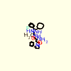 C[C@H](NC(=O)[C@@H](N)CC(=O)N1CCC[C@@H]1c1ccccc1)C1NC(c2ccccc2F)C(C2CCCCCCCC2)N1